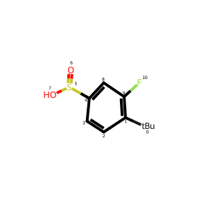 CC(C)(C)c1ccc(S(=O)O)cc1F